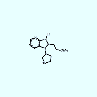 CCN1c2ncncc2N(C2CCNC2)[C@@H]1CCOC